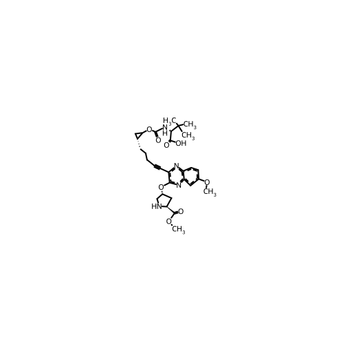 COC(=O)[C@@H]1C[C@@H](Oc2nc3cc(OC)ccc3nc2C#CCCC[C@@H]2CC2OC(=O)N[C@H](C(=O)O)C(C)(C)C)CN1